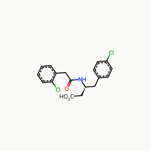 O=C(O)C[C@H](Cc1ccc(Cl)cc1)NC(=O)Cc1ccccc1Cl